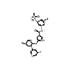 CS(=O)(=O)Nc1cc(Cl)cc(NC(=O)c2c[nH]c(Cc3ncc(F)cc3-c3cncc(F)c3)c2)c1